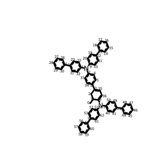 CC1CC(c2ccc(N(c3ccc(-c4ccccc4)cc3)c3ccc(-c4ccccc4)cc3)cc2)=CC=C1N(c1ccc(-c2ccccc2)cc1)c1ccc(-c2ccccc2)cc1